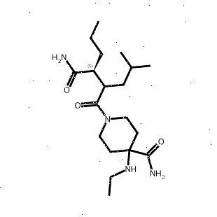 CCC[C@H](C(N)=O)C(CC(C)C)C(=O)N1CCC(NCC)(C(N)=O)CC1